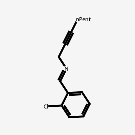 CCCCCC#CC/N=C/c1ccccc1Cl